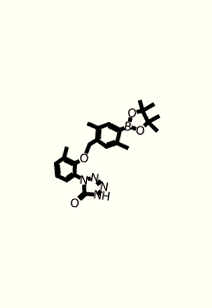 Cc1cc(B2OC(C)(C)C(C)(C)O2)c(C)cc1COc1c(C)cccc1-n1nn[nH]c1=O